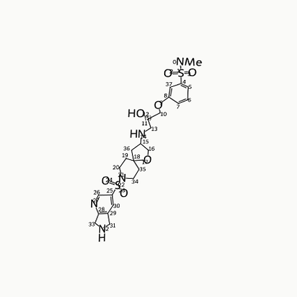 CNS(=O)(=O)c1cccc(OC[C@@H](O)CNC2COC3(CCN(S(=O)(=O)c4cnc5c(c4)CNC5)CC3)C2)c1